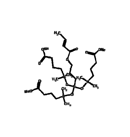 CC=CC(=O)OCCC[Si](O[Si](C)(C)CCCC(=O)OC)(O[Si](C)(C)CCCC(=O)OC)O[Si](C)(C)CCCC(=O)OC